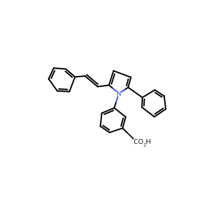 O=C(O)c1cccc(-n2c(C=Cc3ccccc3)ccc2-c2ccccc2)c1